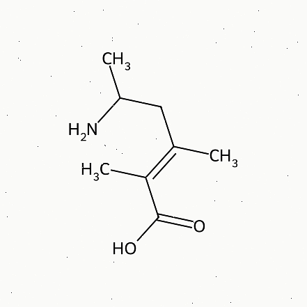 CC(CC(C)N)=C(C)C(=O)O